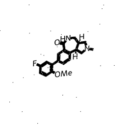 COc1ccc(F)cc1-c1ccc2c(c1)C(=O)NC[C@H]1CN(C)C[C@H]21